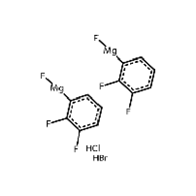 Br.Cl.[F][Mg][c]1cccc(F)c1F.[F][Mg][c]1cccc(F)c1F